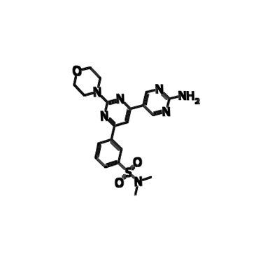 CN(C)S(=O)(=O)c1cccc(-c2cc(-c3cnc(N)nc3)nc(N3CCOCC3)n2)c1